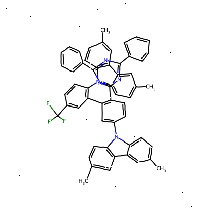 Cc1ccc2c(c1)c1cc(C)ccc1n2-c1ccc(-c2nc(-c3ccccc3)nc(-c3ccccc3)n2)c(-c2cc(C(F)(F)F)ccc2-n2c3ccc(C)cc3c3cc(C)ccc32)c1